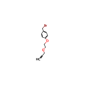 C#CCOCCOc1ccc(CBr)cc1